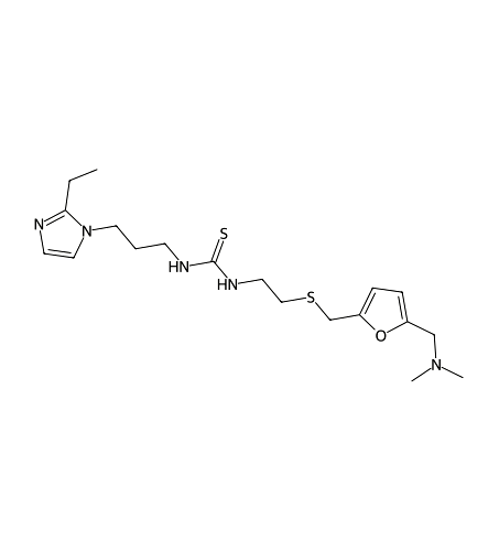 CCc1nccn1CCCNC(=S)NCCSCc1ccc(CN(C)C)o1